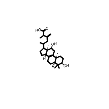 C=C(CC(C)C1CC[C@H]2C3=C(C[C@H](O)[C@]12C)[C@@]1(C)CC[C@@H](O)C(C)(C)[C@@H]1CC3)C(C)C(=O)O